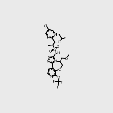 COC[C@H]1COc2c(ccnc2OC(F)(F)F)-c2nnc(NS(=O)(=O)[C@@H](C)[C@@H](OC(C)C)c3ncc(Cl)cn3)n21